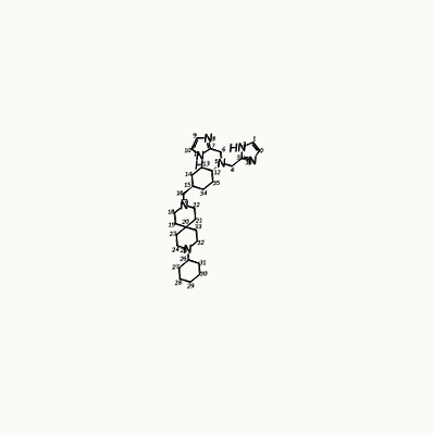 c1c[nH]c(CN(Cc2ncc[nH]2)[C@H]2CC[C@H](CN3CCC4(CC3)CCN(C3CCCCC3)CC4)CC2)n1